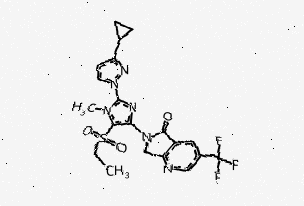 CCS(=O)(=O)c1c(N2Cc3ncc(C(F)(F)F)cc3C2=O)nc(-n2ccc(C3CC3)n2)n1C